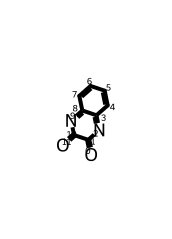 O=C1N=c2ccccc2=NC1=O